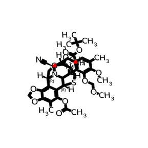 COCOc1c(OC)c(C)cc2c1[C@@H]1C3[C@@H]4SC[C@@H](NC(=O)OC(C)(C)C)C(=O)OC[C@@H](c5c6c(c(C)c(OC(C)=O)c54)OCO6)N3[C@@H](C#N)[C@H](C2)N1C